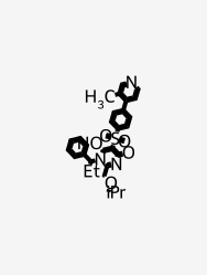 CCC(c1ccccc1)n1c(COC(C)C)nc(=O)c(S(=O)(=O)c2ccc(-c3ccncc3C)cc2)c1O